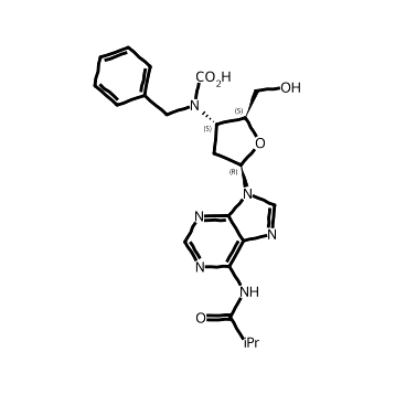 CC(C)C(=O)Nc1ncnc2c1ncn2[C@H]1C[C@H](N(Cc2ccccc2)C(=O)O)[C@@H](CO)O1